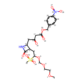 COCCOCOC(CC1C(=O)NC1CC(=O)CC(=O)OCc1ccc([N+](=O)[O-])cc1)S(C)(=O)=O